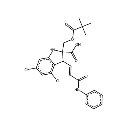 CC(C)(C)C(=O)OCC1(C(=O)O)Nc2cc(Cl)cc(Cl)c2C1/C=C/C(=O)Nc1ccccc1